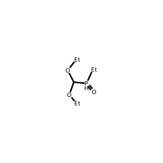 CCOC(OCC)[PH](=O)CC